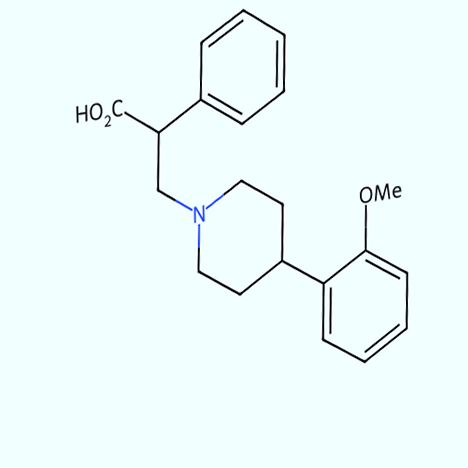 COc1ccccc1C1CCN(CC(C(=O)O)c2ccccc2)CC1